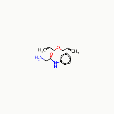 C=CCOCC=C.NCC(=O)Nc1ccccc1